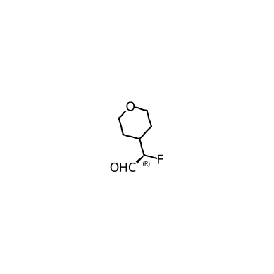 O=C[C@H](F)C1CCOCC1